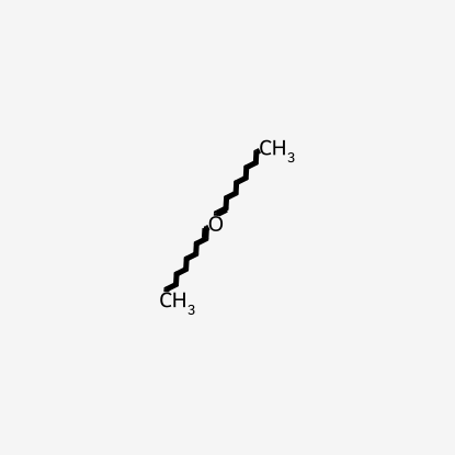 CCCCCCCCC=COC=CCCCCCCCC